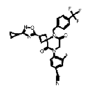 N#Cc1ccc(N2CC(=O)N(Cc3ccc(C(F)(F)F)cc3)[C@]3(C[C@H](c4nc(C5CC5)no4)C3)C2=O)c(F)c1